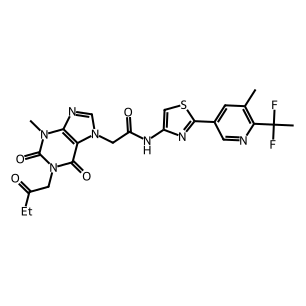 CCC(=O)Cn1c(=O)c2c(ncn2CC(=O)Nc2csc(-c3cnc(C(C)(F)F)c(C)c3)n2)n(C)c1=O